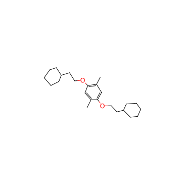 Cc1cc(OCCC2CCCCC2)c(C)cc1OCCC1CCCCC1